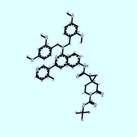 COc1ccc(CN(Cc2ccc(OC)cc2OC)c2nc(-c3cnccc3C)cc3cc(NC(=O)C4CC45CCN(C(=O)OC(C)(C)C)C(=O)C5)ncc23)c(OC)c1